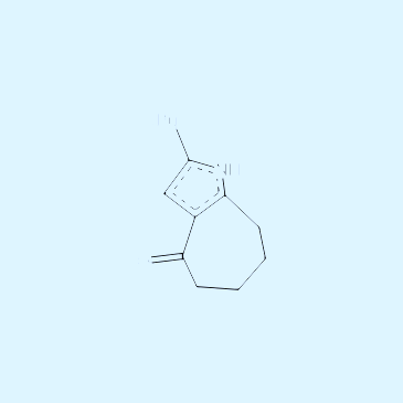 CC(C)(C)c1cc2c([nH]1)CCCCC2=O